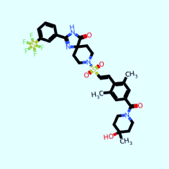 Cc1cc(C(=O)N2CCC(C)(O)CC2)cc(C)c1C=CS(=O)(=O)N1CCC2(CC1)N=C(c1cccc(S(F)(F)(F)(F)F)c1)NC2=O